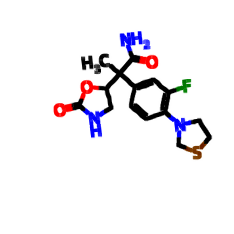 CC(C(N)=O)(c1ccc(N2CCSC2)c(F)c1)C1CNC(=O)O1